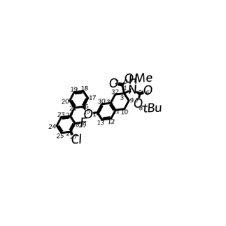 COC(=O)C1(NC(=O)OC(C)(C)C)CCc2ccc(Oc3ccccc3-c3cccc(Cl)c3F)cc2C1